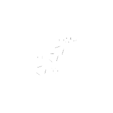 COc1c[c]c2cc3c(cc2c1)C(=O)c1ccccc1C3=O